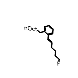 CCCCCCCCCc1ccccc1C=CCCCCF